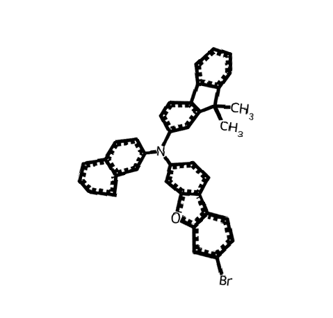 CC1(C)c2ccccc2-c2ccc(N(c3ccc4ccccc4c3)c3ccc4c(c3)oc3cc(Br)ccc34)cc21